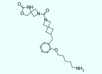 NCCCCCOc1ccccc1CC1CC2(C1)CN(C(=O)N1CC3(COC(=O)N3)C1)C2